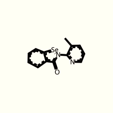 Cc1cccnc1-n1[se]c2ccccc2c1=O